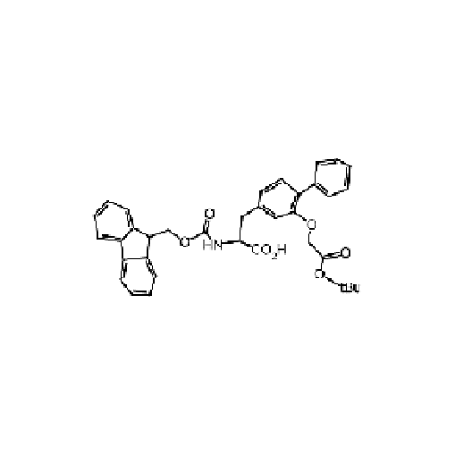 CC(C)(C)OC(=O)COc1cc(C[C@H](NC(=O)OCC2c3ccccc3-c3ccccc32)C(=O)O)ccc1-c1ccccc1